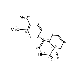 COc1ccc(C2=NNC(=O)[C@@H]3CC=CCC23)cc1OC